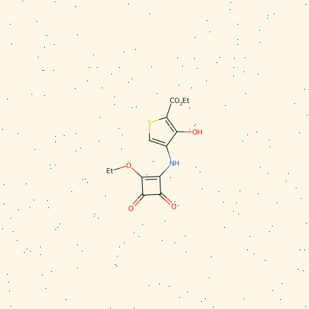 CCOC(=O)c1scc(Nc2c(OCC)c(=O)c2=O)c1O